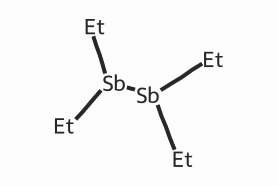 C[CH2][Sb]([CH2]C)[Sb]([CH2]C)[CH2]C